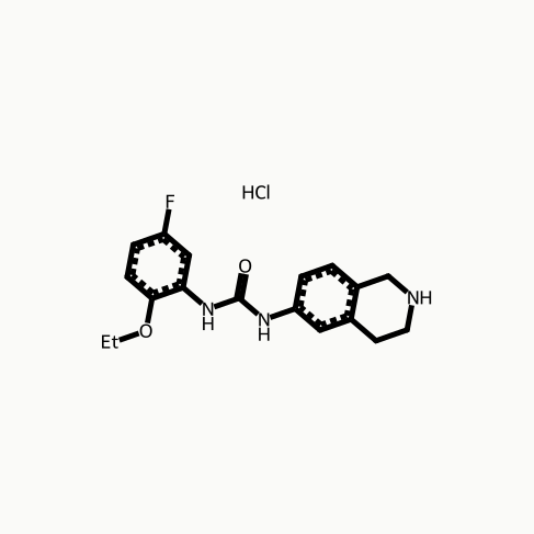 CCOc1ccc(F)cc1NC(=O)Nc1ccc2c(c1)CCNC2.Cl